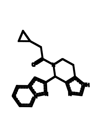 O=C(CC1CC1)N1CCc2[nH]cnc2C1c1cc2ccccn2n1